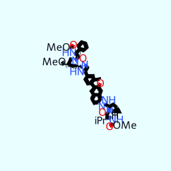 COC[C@H]1C[C@@H](c2ncc(-c3ccc4c(c3)COc3cc5c(ccc6nc(C7CC8C[C@H]8N7C(=O)[C@@H](NC(=O)OC)C(C)C)[nH]c65)cc3-4)[nH]2)N(C(=O)[C@H](NC(=O)OC)c2ccccc2)C1